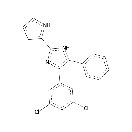 Clc1cc(Cl)cc(-c2nc(-c3ccc[nH]3)[nH]c2-c2ccccc2)c1